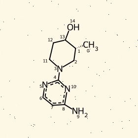 C[C@@H]1CN(c2nccc(N)n2)CCC1O